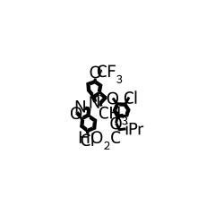 Cc1c(Oc2cc(OC(C(=O)O)C(C)C)ccc2Cl)c2cc(OC(F)(F)F)ccc2n1-c1noc2cc(Cl)ccc12